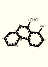 [2H]c1cccc2c1c(C=O)cc1ccccc12